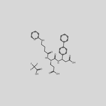 O=C(O)C(F)(F)F.O=C(O)CC[C@@H](NC(=O)CCCNc1ccccn1)C(=O)NC(CC(=O)O)c1ccc(-c2ccccc2)cc1